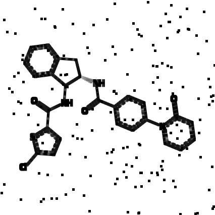 O=C(N[C@H]1Cc2ccccc2C1NC(=O)c1ccc(Cl)s1)c1ccc(-n2ccccc2=O)cc1